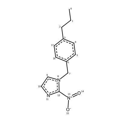 CCCc1ccc(Cn2ccnc2[N+](=O)[O-])cc1